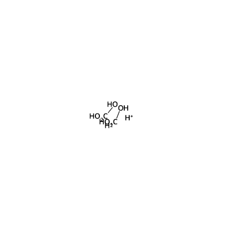 O=C(O)O.O=C(O)O.[H+].[H+]